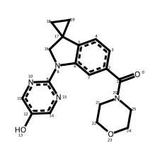 O=C(c1ccc2c(c1)N(c1ncc(O)cn1)CC21CC1)N1CCOCC1